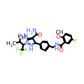 COc1ccc(F)cc1C(=O)NCc1ccc(C2NN(C(C(C)C)C(F)(F)F)C(N)=C2C(N)=O)cc1